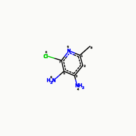 Cc1cc(N)c(N)c(Cl)n1